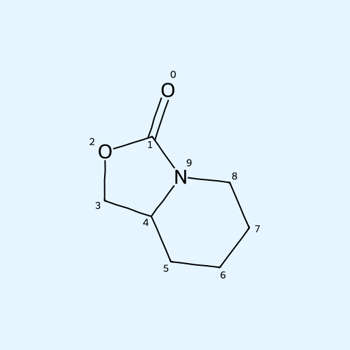 O=C1OCC2CCCCN12